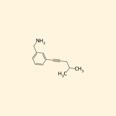 CC(C)CC#Cc1[c]ccc(CN)c1